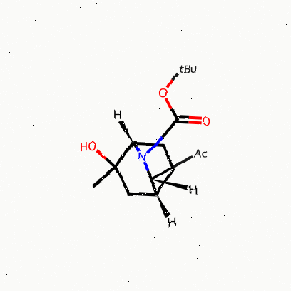 CC(=O)[C@@H]1[C@@H]2CC[C@H](N1C(=O)OC(C)(C)C)C(C)(O)C2